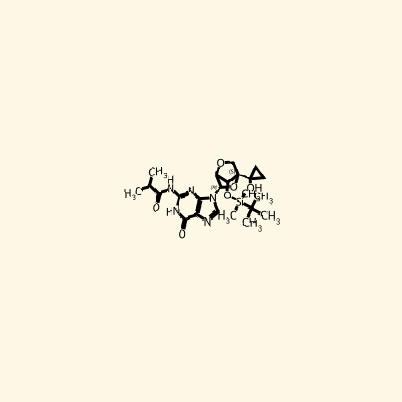 CC(C)C(=O)Nc1nc2c(ncn2[C@@H]2O[C@@]3(C4(O)CC4)COC2C3O[Si](C)(C)C(C)(C)C)c(=O)[nH]1